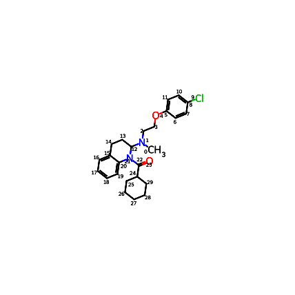 CN(CCOc1ccc(Cl)cc1)C1CCc2ccccc2N1C(=O)C1CCCCC1